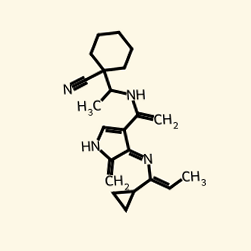 C=C(NC(C)C1(C#N)CCCCC1)C1=CNC(=C)/C1=N\C(=C/C)C1CC1